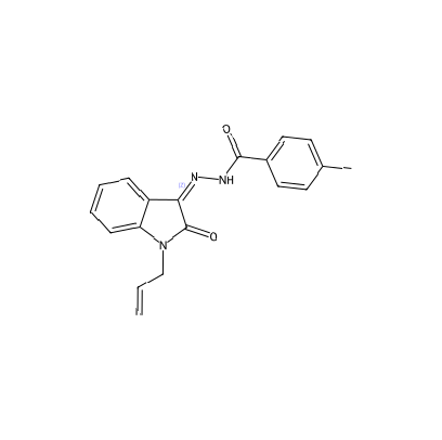 C=CCN1C(=O)/C(=N\NC(=O)c2ccc(C)cc2)c2ccccc21